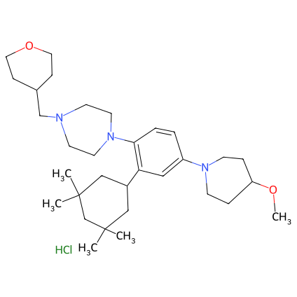 COC1CCN(c2ccc(N3CCN(CC4CCOCC4)CC3)c(C3CC(C)(C)CC(C)(C)C3)c2)CC1.Cl